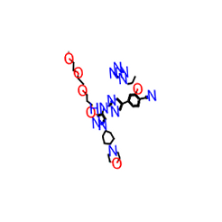 COCCOCCOCCCOc1nn(C2CCC(N3CCOCC3)CC2)cc1Nc1ncc(-c2ccc(C#N)c(OC(C)Cn3cnnn3)c2)cn1